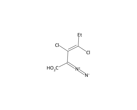 CCC(Cl)=C(Cl)C(=[N+]=[N-])C(=O)O